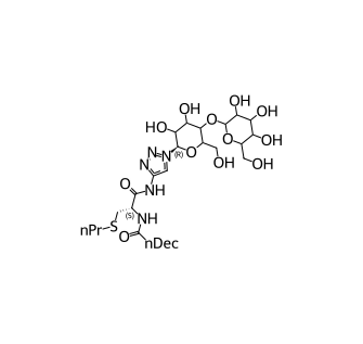 [CH2][CH]CSC[C@@H](NC(=O)CCCCCCCCCC)C(=O)Nc1cn([C@@H]2OC(CO)C(OC3OC(CO)C(O)C(O)C3O)C(O)C2O)nn1